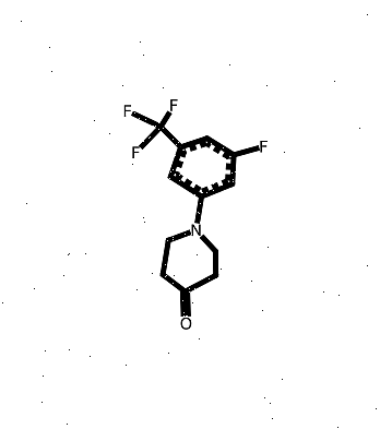 O=C1CCN(c2cc(F)cc(C(F)(F)F)c2)CC1